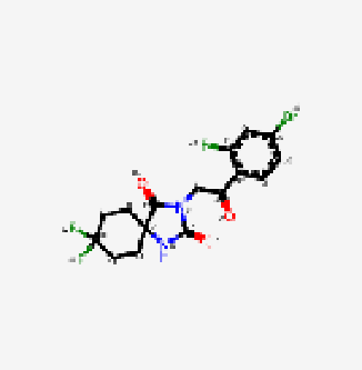 O=C(CN1C(=O)NC2(CCC(F)(F)CC2)C1=O)c1ccc(Br)cc1F